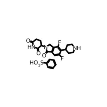 O=C1CCC(N2Cc3c(cc(F)c(C4CCNCC4)c3F)C2=O)C(=O)N1.O=S(=O)(O)c1ccccc1